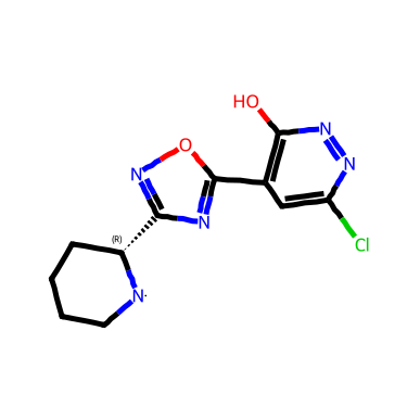 Oc1nnc(Cl)cc1-c1nc([C@H]2CCCC[N]2)no1